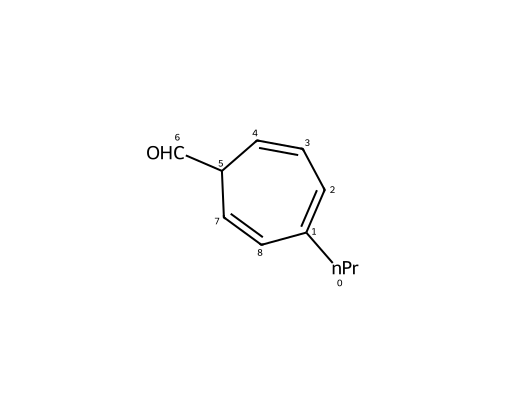 CCCC1=CC=CC(C=O)C=C1